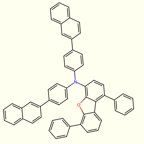 c1ccc(-c2cccc3c2oc2c(N(c4ccc(-c5ccc6ccccc6c5)cc4)c4ccc(-c5ccc6ccccc6c5)cc4)ccc(-c4ccccc4)c23)cc1